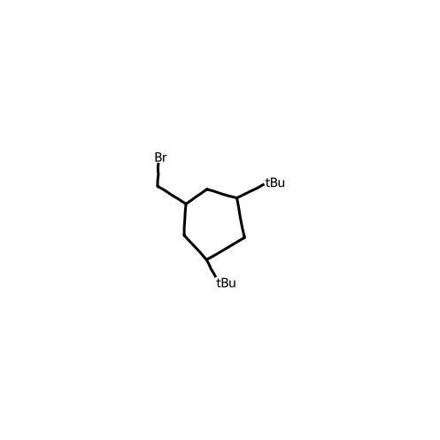 CC(C)(C)C1CC(CBr)CC(C(C)(C)C)C1